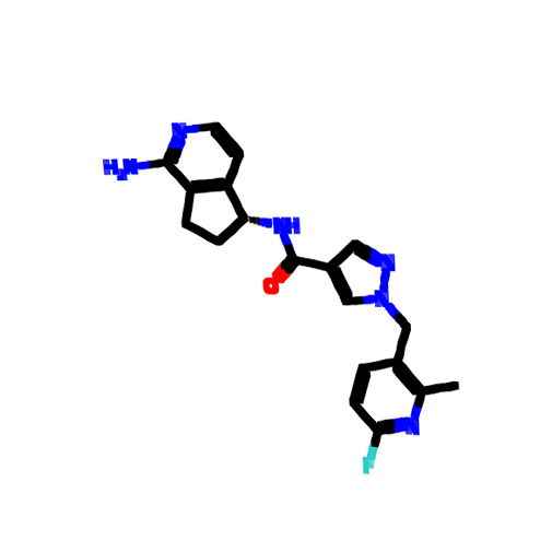 Cc1nc(F)ccc1Cn1cc(C(=O)N[C@@H]2CCc3c2ccnc3N)cn1